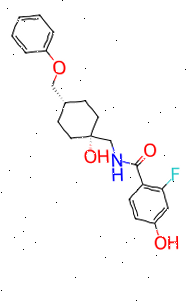 O=C(NC[C@]1(O)CC[C@@H](COc2ccccc2)CC1)c1ccc(O)cc1F